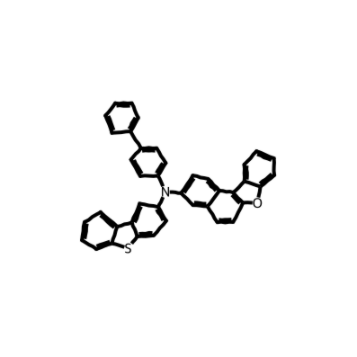 c1ccc(-c2ccc(N(c3ccc4c(ccc5oc6ccccc6c54)c3)c3ccc4sc5ccccc5c4c3)cc2)cc1